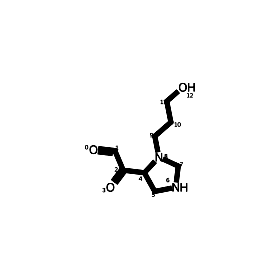 O=CC(=O)C1CNCN1CCCO